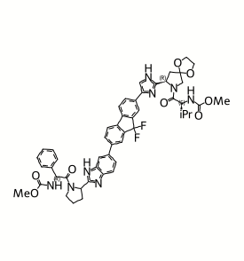 COC(=O)N[C@H](C(=O)N1CC2(C[C@@H]1c1nc(-c3ccc4c(c3)C(F)(F)c3cc(-c5ccc6nc(C7CCCN7C(=O)[C@H](NC(=O)OC)c7ccccc7)[nH]c6c5)ccc3-4)c[nH]1)OCCO2)C(C)C